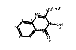 CCCCCc1nc2ccccc2c(=O)n1O